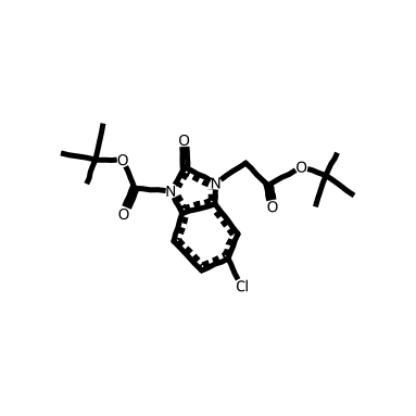 CC(C)(C)OC(=O)Cn1c(=O)n(C(=O)OC(C)(C)C)c2ccc(Cl)cc21